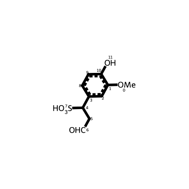 COc1cc(C(CC=O)S(=O)(=O)O)ccc1O